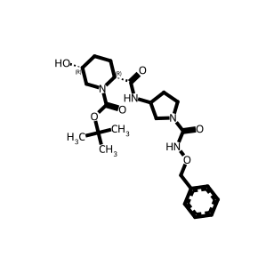 CC(C)(C)OC(=O)N1C[C@H](O)CC[C@@H]1C(=O)NC1CCN(C(=O)NOCc2ccccc2)C1